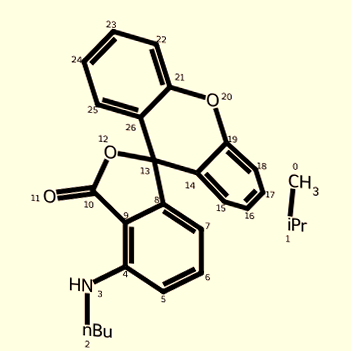 CC(C)C.CCCCNc1cccc2c1C(=O)OC21c2ccccc2Oc2ccccc21